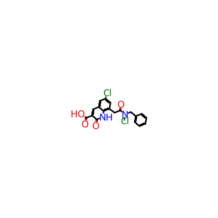 O=C(O)c1cc2cc(Cl)cc(CC(=O)N(Cl)Cc3ccccc3)c2[nH]c1=O